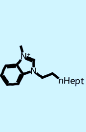 CCCCCCCCCn1c[n+](C)c2ccccc21